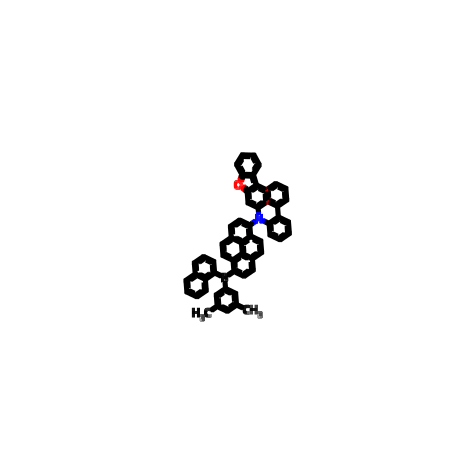 Cc1cc(C)cc(B(c2cccc3ccccc23)c2ccc3ccc4c(N(c5ccc6c(c5)oc5ccccc56)c5ccccc5-c5ccccc5)ccc5ccc2c3c54)c1